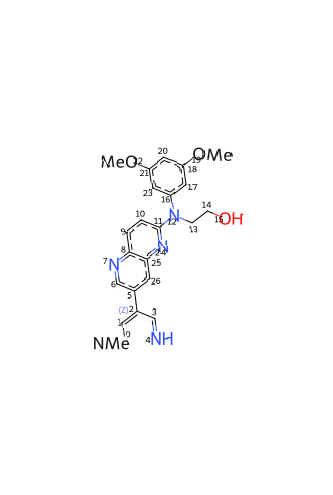 CN/C=C(\C=N)c1cnc2ccc(N(CCO)c3cc(OC)cc(OC)c3)nc2c1